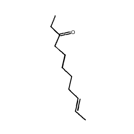 CC=CCCCCCC(=O)CC